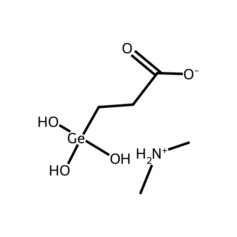 C[NH2+]C.O=C([O-])C[CH2][Ge]([OH])([OH])[OH]